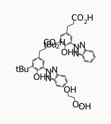 CC(C)(C)c1cc(CCC(=O)O)cc(-n2nc3ccccc3n2)c1O.CC(C)(C)c1cc(CCC(=O)O)cc(-n2nc3ccccc3n2)c1O.OCCOO